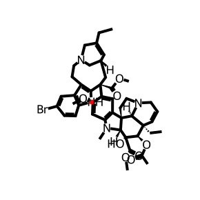 CCC1=C[C@H]2CN(CCc3c([nH]c4ccc(Br)cc34)[C@@](C(=O)OC)(c3cc4c(cc3OC)N(C)[C@H]3[C@@](O)(C(=O)OC)[C@H](OC(C)=O)[C@]5(CC)C=CCN6CC[C@]43[C@@H]65)C2)C1